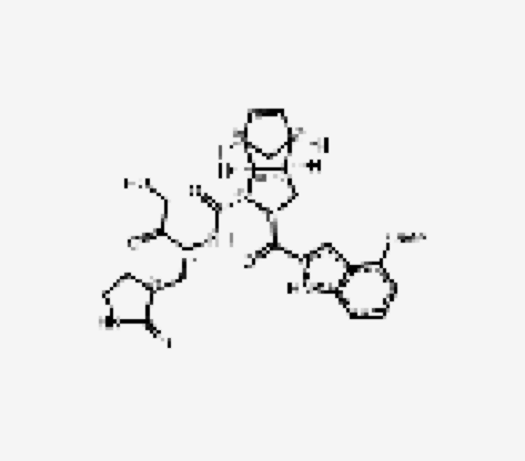 COc1cccc2[nH]c(C(=O)N3C[C@H]4[C@@H]([C@H]3C(=O)N[C@@H](C[C@@H]3CCNC3=O)C(=O)CO)[C@H]3C=C[C@@H]4C3)cc12